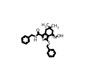 CC1(C)C/C(=N\O)c2c(SCc3ccccc3)sc(C(=O)NCc3ccccc3)c2C1